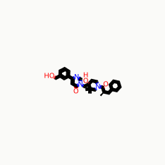 C[C@H](CC1CCCCC1)C(=O)N1CCC(O)(Cn2cnc(-c3cccc(CO)c3)cc2=O)C(C)(C)C1